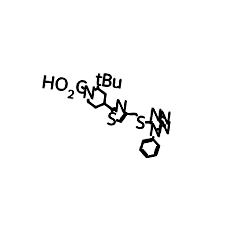 CC(C)(C)C1CC(c2nc(CSc3nnnn3-c3ccccc3)cs2)CCN1C(=O)O